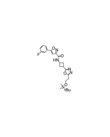 CC(C)(C)[Si](C)(C)OCCc1nnc(C2CC(NC(=O)c3cc(-c4cccc(F)c4)on3)C2)o1